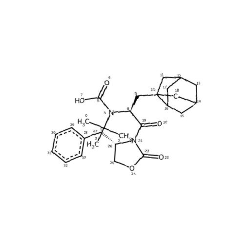 CC(C)(C)N(C(=O)O)[C@@H](CC12CC3CC(CC1C3)C2)C(=O)N1C(=O)OC[C@@H]1Cc1ccccc1